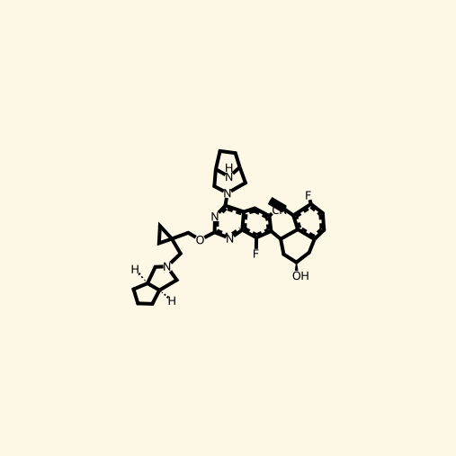 C#Cc1c(F)ccc2c1C(c1c(C#N)cc3c(N4CC5CCC(C4)N5)nc(OCC4(CN5C[C@H]6CCC[C@H]6C5)CC4)nc3c1F)C[C@H](O)C2